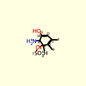 CC1=C(C)C(C)(OS(=O)(=O)O)C(N)C(O)=C1